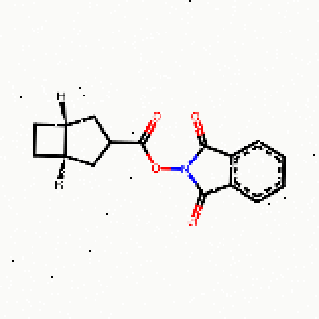 O=C(ON1C(=O)c2ccccc2C1=O)C1C[C@H]2CC[C@H]2C1